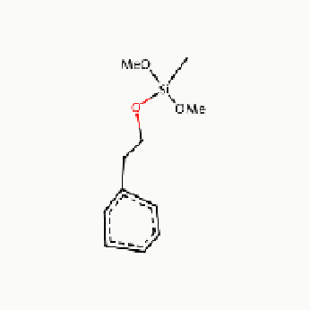 CO[Si](C)(OC)OCCc1ccccc1